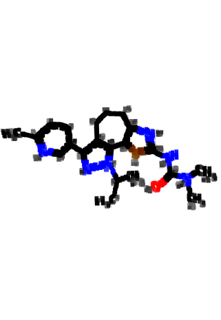 Cc1ccc(-c2nn(C(C)C)c3c2CCCc2nc(NC(=O)N(C)C)sc2-3)cn1